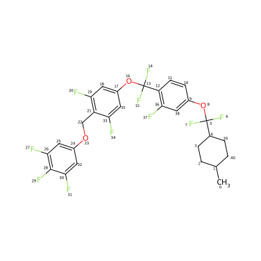 CC1CCC(C(F)(F)Oc2ccc(C(F)(F)Oc3cc(F)c(COc4cc(F)c(F)c(F)c4)c(F)c3)c(F)c2)CC1